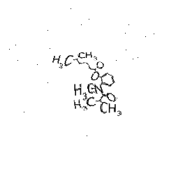 CC(C)CCCC(=O)Oc1ccccc1N(C)C(=O)C(C)C